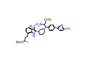 COC(F)CCc1cccc2c(C)c([C@@H]3CCCN(C(c4ccc(-c5ccc(O)nc5)cc4)C(N)CC=O)C3)[nH]c12